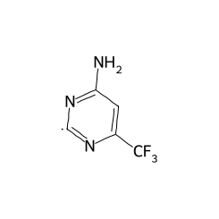 Nc1cc(C(F)(F)F)n[c]n1